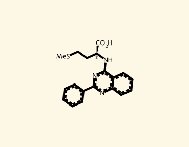 CSCC[C@H](Nc1nc(-c2ccccc2)nc2ccccc12)C(=O)O